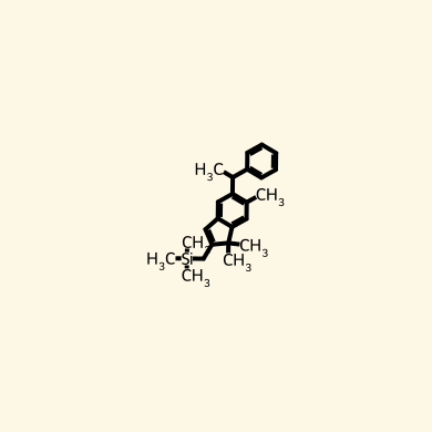 Cc1cc2c(cc1C(C)c1ccccc1)C=C(C[Si](C)(C)C)C2(C)C